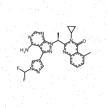 Cc1cccc2nc([C@H](C)n3nc(-c4cnn(C(F)F)c4)c4c(N)ncnc43)n(C3CC3)c(=O)c12